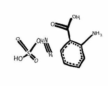 N#N.Nc1ccccc1C(=O)O.O=S(=O)(O)O